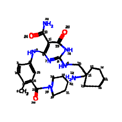 Cc1ccc(Nc2nc(NCC3(N)CCCCC3)[nH]c(=O)c2C(N)=O)cc1C(=O)N1CCCCC1